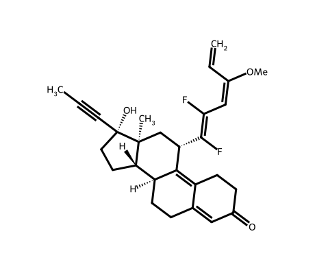 C=C/C(=C\C(F)=C(/F)[C@H]1C[C@@]2(C)[C@@H](CC[C@@]2(O)C#CC)[C@@H]2CCC3=CC(=O)CCC3=C21)OC